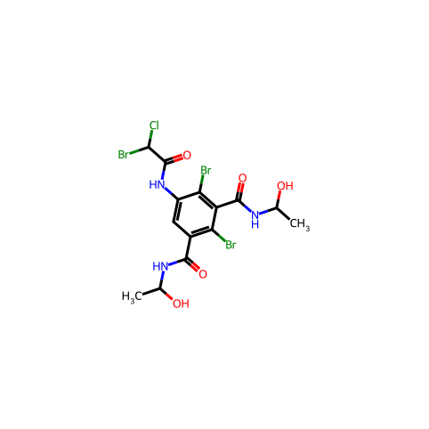 CC(O)NC(=O)c1cc(NC(=O)C(Cl)Br)c(Br)c(C(=O)NC(C)O)c1Br